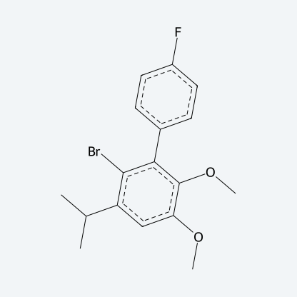 COc1cc(C(C)C)c(Br)c(-c2ccc(F)cc2)c1OC